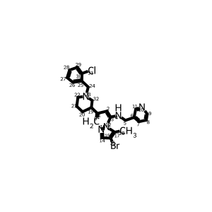 C=C(/C=C(/NCc1cccnc1)n1ncc(Br)c1C)C1CCCN(Cc2ccccc2Cl)C1